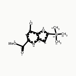 COC(=O)c1cc(Cl)c2oc([Si](C)(C)C)cc2n1